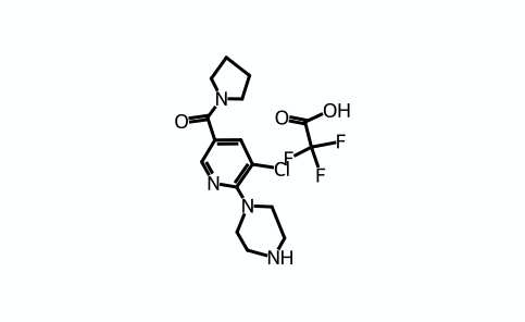 O=C(O)C(F)(F)F.O=C(c1cnc(N2CCNCC2)c(Cl)c1)N1CCCC1